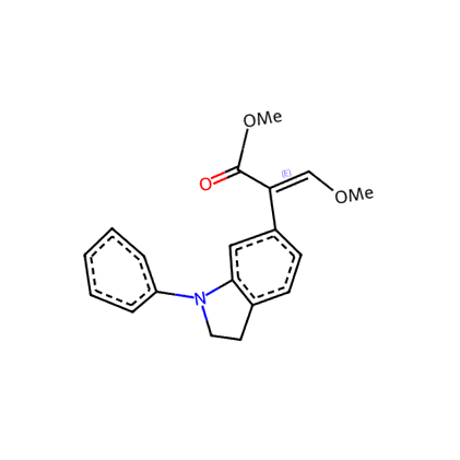 CO/C=C(/C(=O)OC)c1ccc2c(c1)N(c1ccccc1)CC2